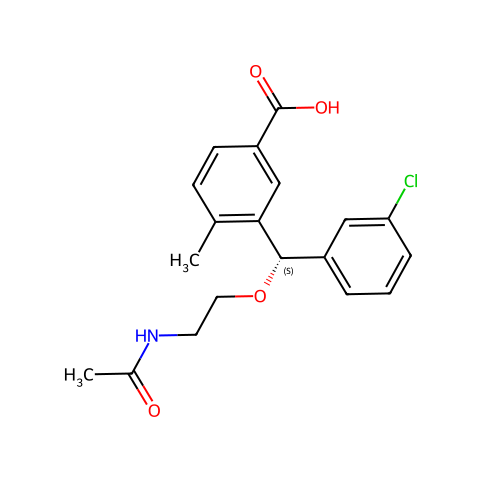 CC(=O)NCCO[C@@H](c1cccc(Cl)c1)c1cc(C(=O)O)ccc1C